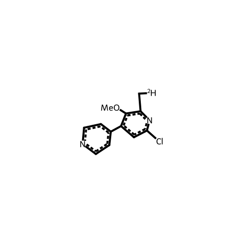 [2H]Cc1nc(Cl)cc(-c2ccncc2)c1OC